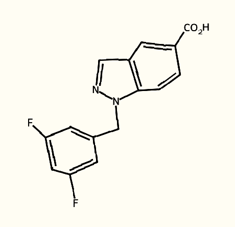 O=C(O)c1ccc2c(cnn2Cc2cc(F)cc(F)c2)c1